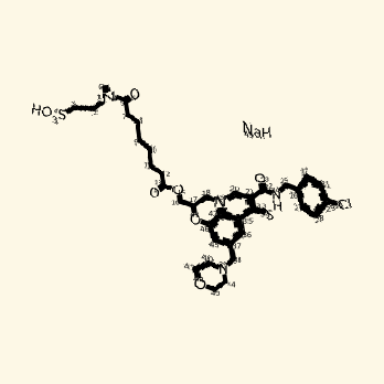 CN(CCS(=O)(=O)O)C(=O)CCCCCCC(=O)OCC1Cn2cc(C(=O)NCc3ccc(Cl)cc3)c(=S)c3cc(CN4CCOCC4)cc(c32)O1.[NaH]